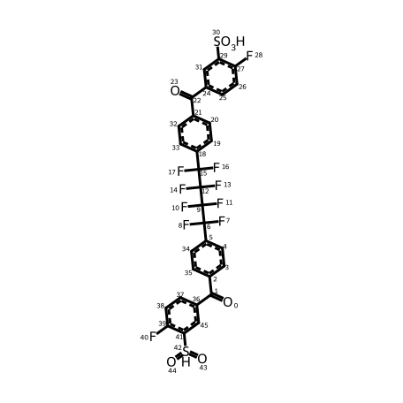 O=C(c1ccc(C(F)(F)C(F)(F)C(F)(F)C(F)(F)c2ccc(C(=O)c3ccc(F)c(S(=O)(=O)O)c3)cc2)cc1)c1ccc(F)c([SH](=O)=O)c1